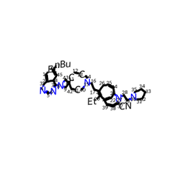 CC/C=C1/CN=CN=C(N2CC3(CCCCN(CC/C4=C(\CC)C5=CC(C=CC4)N(CCN4CCCCC4)C(C#N)=C=C5)CCC3)C2)C1C=CCCCC